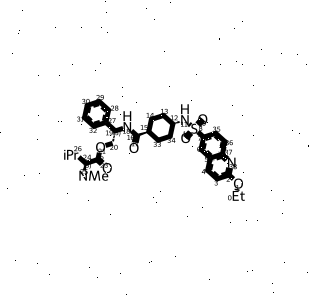 CCOc1ccc2cc(S(=O)(=O)N[C@H]3CC[C@H](C(=O)N[C@H](COC(=O)[C@@H](NC)C(C)C)c4ccccc4)CC3)ccc2n1